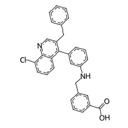 O=C(O)c1cccc(CNc2cccc(-c3c(Cc4ccccc4)cnc4c(Cl)cccc34)c2)c1